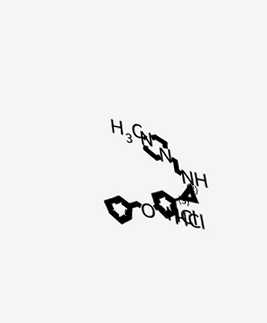 CN1CCN(CCN[C@@H]2C[C@H]2c2ccc(OCc3ccccc3)cc2)CC1.Cl.Cl